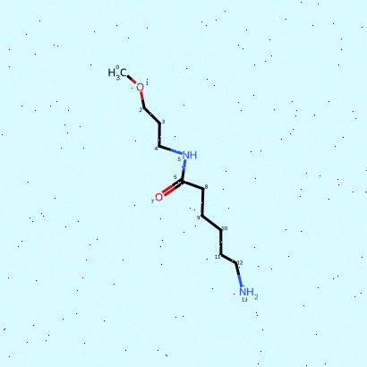 COCCCNC(=O)CCCCCN